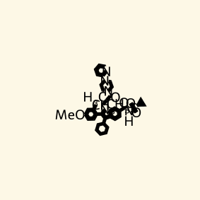 COc1ccc(-c2c(C3CCCCC3)c3ccc(C(=O)NS(=O)(=O)C4CC4)cc3n2CC(C)(C)C(=O)N2CCN(c3ccccn3)CC2)c(C)c1